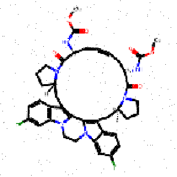 CC(C)(C)OC(=O)N[C@H]1CC=CC[C@H](NC(=O)OC(C)(C)C)C(=O)N2CCC[C@H]2Cc2c3n(c4cc(F)ccc24)CCn2c-3c(c3ccc(F)cc32)C[C@@H]2CCCN2C1=O